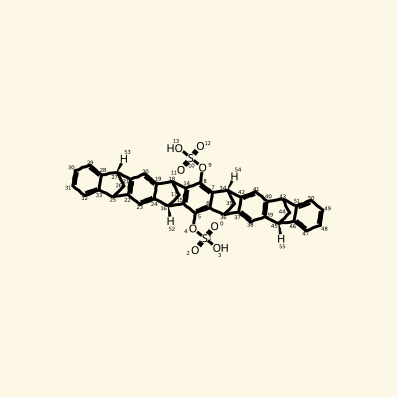 O=S(=O)(O)Oc1c2c(c(OS(=O)(=O)O)c3c1[C@H]1CC3c3cc4c(cc31)C1C[C@@H]4c3ccccc31)[C@H]1CC2c2cc3c(cc21)C1C[C@@H]3c2ccccc21